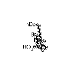 CCCCCCCCCCCCCCCCCNC(=O)S[C@H]1CCCO[C@H]1CN(CCCCCBr)C(=O)O